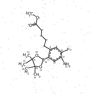 COC(=O)CCCCc1cc(F)c(N)cc1B1OC(C)(C)C(C)(C)O1